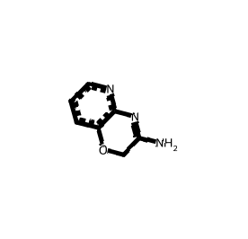 NC1=Nc2ncccc2OC1